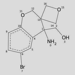 NC1(CO)c2cc(Br)ccc2OCC12COC2